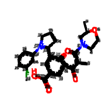 Cc1c(N2CCO[C@H](C)C2)oc2c(C3CCCN3c3cccc(F)c3)cc(C(=O)O)cc2c1=O